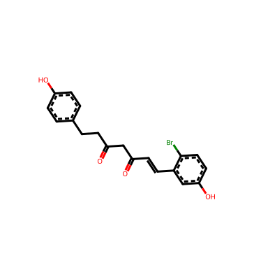 O=C(C=Cc1cc(O)ccc1Br)CC(=O)CCc1ccc(O)cc1